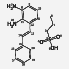 CCCS(=O)(=O)O.Nc1cccc(C=Cc2ccccc2)c1N